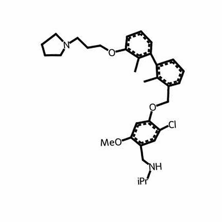 COc1cc(OCc2cccc(-c3cccc(OCCCN4CCCC4)c3C)c2C)c(Cl)cc1CNC(C)C